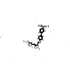 CC(C)CCCC(C)CCOc1ccc(-c2ccc(B(O)O)cc2)cc1